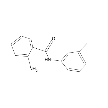 Cc1ccc(NC(=O)c2ccccc2N)cc1C